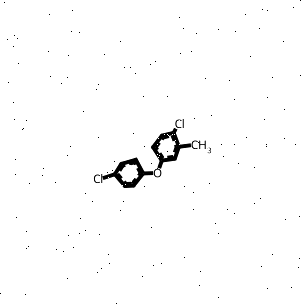 Cc1cc(Oc2ccc(Cl)cc2)ccc1Cl